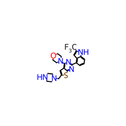 FC(F)(F)c1cc2c(-c3nc(N4CCOCC4)c4cc(CN5CCNCC5)sc4n3)cccc2[nH]1